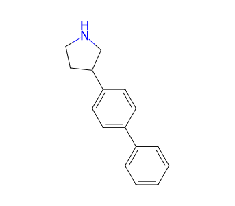 c1ccc(-c2ccc(C3CCNC3)cc2)cc1